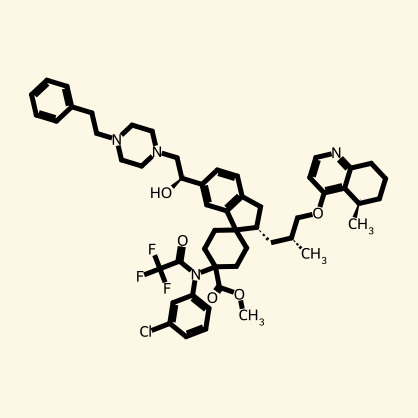 COC(=O)C1(N(C(=O)C(F)(F)F)c2cccc(Cl)c2)CCC2(CC1)c1cc([C@@H](O)CN3CCN(CCc4ccccc4)CC3)ccc1C[C@@H]2C[C@@H](C)COc1ccnc2c1[C@H](C)CCC2